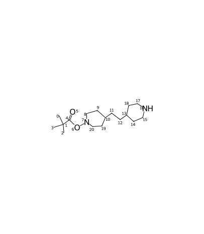 CC(C)(C)C(=O)ON1CCC(CCC2CCNCC2)CC1